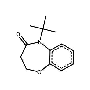 CC(C)(C)N1C(=O)CCOc2ccccc21